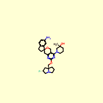 C[C@@]1(O)CCCN(c2nc(OC[C@@]34CCCN3C[C@H](F)C4)nc3c2COC2(CCc4ccc(N)cc42)C3)C1